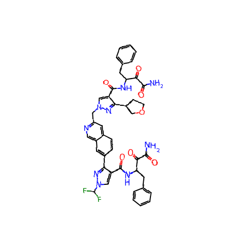 NC(=O)C(=O)C(Cc1ccccc1)NC(=O)c1cn(C(F)F)nc1-c1ccc2cc(Cn3cc(C(=O)NC(Cc4ccccc4)C(=O)C(N)=O)c(C4CCOC4)n3)ncc2c1